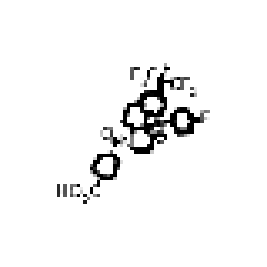 O=C(O)[C@H]1CC[C@H](C(=O)N2CCCC3(S(=O)(=O)c4ccc(F)cc4)c4ccc(C(F)(C(F)(F)F)C(F)(F)F)cc4CCC23)CC1